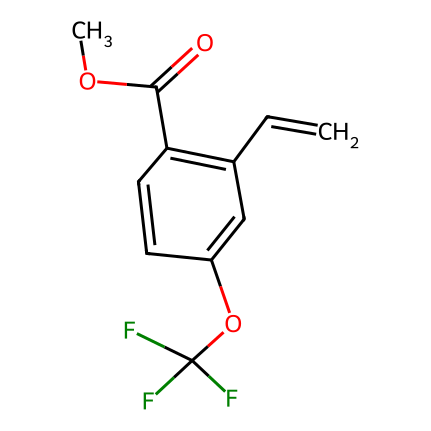 C=Cc1cc(OC(F)(F)F)ccc1C(=O)OC